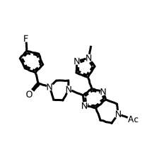 CC(=O)N1CCc2nc(N3CCN(C(=O)c4ccc(F)cc4)CC3)c(-c3cnn(C)c3)nc2C1